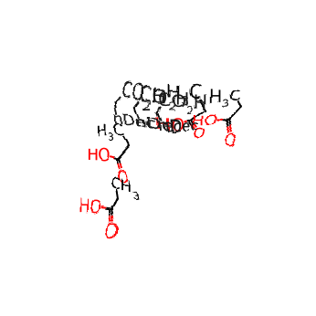 CCC(=O)O.CCC(=O)O.CCC(=O)O.CCC(=O)O.CCCCCCCCCCCC(=O)O.CCCCCCCCCCCC(=O)O.CCCCCCCCCCCC(=O)O